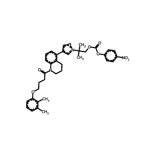 Cc1cccc(OCCCC(=O)N2CCCc3c(-c4cnn(C(C)(C)COC(=O)Oc5ccc([N+](=O)[O-])cc5)c4)cccc32)c1C